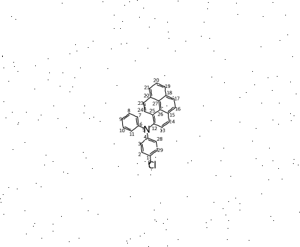 Clc1ccc(N(c2ccccc2)c2ccc3ccc4cccc5ccc2c3c45)cc1